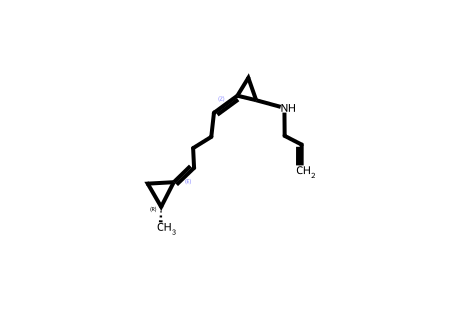 C=CCNC1C/C1=C/CC/C=C1\C[C@H]1C